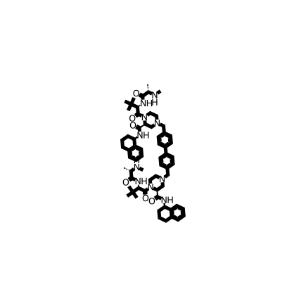 CN[C@@H](C)C(=O)N[C@H](C(=O)N1CCN(Cc2ccc(-c3ccc(CN4CCN(C(=O)[C@@H](NC(=O)[C@H](C)NC)C(C)(C)C)[C@H](C(=O)N[C@@H]5CCCc6ccccc65)C4)cc3)cc2)C[C@H]1C(=O)N[C@@H]1CCCc2ccccc21)C(C)(C)C